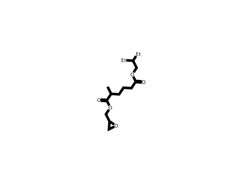 CCC(CC)COC(=O)CCCC(C)C(=O)OCC1CO1